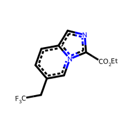 CCOC(=O)c1ncc2ccc(CC(F)(F)F)cn12